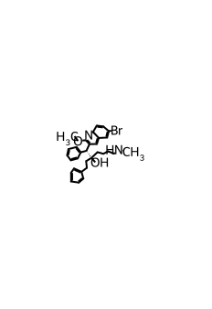 CNCCCCC(O)(CCc1ccccc1)[C@H](c1ccccc1)c1cc2cc(Br)ccc2nc1OC